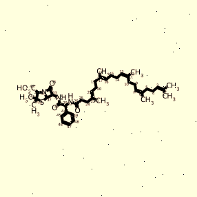 CC(C)=CCCC(C)=CCCC(C)=CCCC=C(C)CCC=C(C)CCC(=O)NC(C(=O)NC1C(=O)N2C1SC(C)(C)C2C(=O)O)c1ccccc1